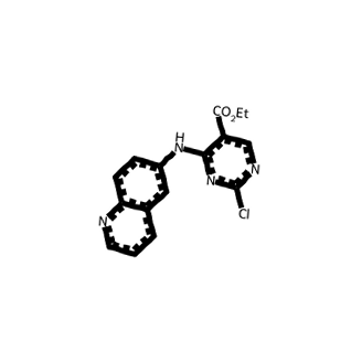 CCOC(=O)c1cnc(Cl)nc1Nc1ccc2ncccc2c1